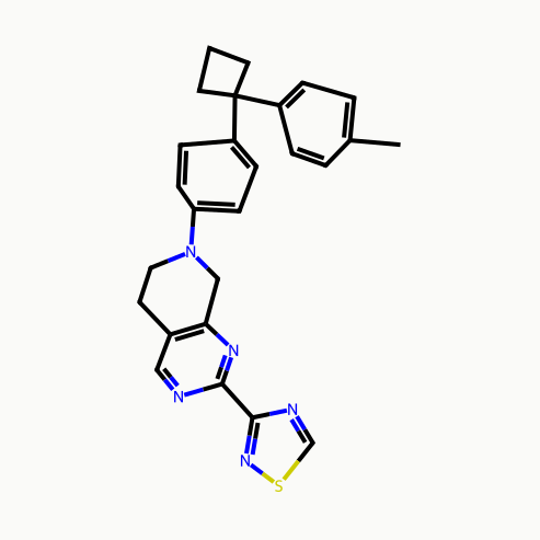 Cc1ccc(C2(c3ccc(N4CCc5cnc(-c6ncsn6)nc5C4)cc3)CCC2)cc1